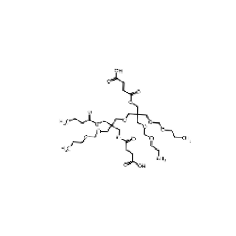 CCCOCOCC(COCOCCC)(COCC(COCOCCC)(COC(=O)CCC)COC(=O)CCC(=O)O)COC(=O)CCC(=O)O